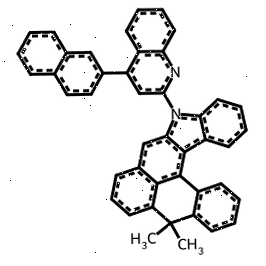 CC1(C)c2ccccc2-c2c3c1cccc3cc1c2c2ccccc2n1-c1cc(-c2ccc3ccccc3c2)c2ccccc2n1